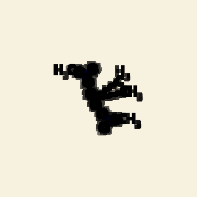 CCCCCCCCC1(CCCCCCCC)c2cc(-c3ccc(N(c4ccccc4)c4ccc(C)cc4)cc3)ccc2-c2ccc(-c3ccc(N(c4ccccc4)c4ccc(C)cc4)cc3)cc21